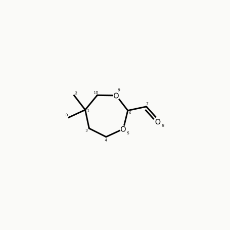 CC1(C)CCOC(C=O)OC1